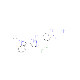 CN(C)CCN(C)c1cc(OC(F)F)c(Nc2nccc(-c3cn(C4CC4)c4ccccc34)n2)cc1N